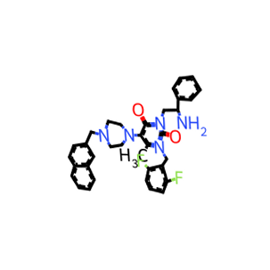 Cc1c(N2CCN(Cc3ccc4ccccc4c3)CC2)c(=O)n(CC(N)c2ccccc2)c(=O)n1Cc1c(F)cccc1F